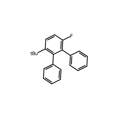 CC(C)(C)c1ccc(F)c(-c2ccccc2)c1-c1ccccc1